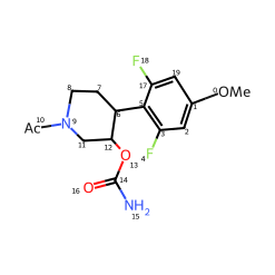 COc1cc(F)c(C2CCN(C(C)=O)CC2OC(N)=O)c(F)c1